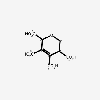 O=C(O)C1=C(C(=O)O)C(C(=O)O)OCC1C(=O)O